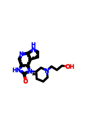 O=c1[nH]c2cnc3[nH]ccc3c2n1[C@@H]1CCCN(CCCO)C1